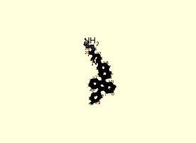 CC1=CC=C(c2c3ccccc3c(-c3ccc4ccc(-c5ccc(C(I)/C=C\C=C/N)cn5)cc4c3)c3ccccc23)CC1